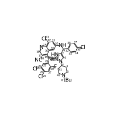 CC(C)(C)N1CCC(N2C=C([C@@H](Nc3cc(Cl)c4ncc(C#N)c(Nc5cc(Cl)c(Cl)cc5F)c4c3)c3ccc(Cl)cc3)NN2)CC1